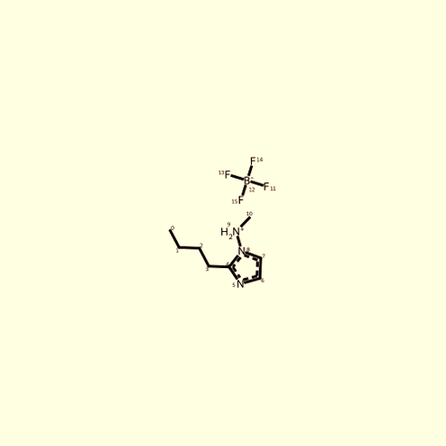 CCCCc1nccn1[NH2+]C.F[B-](F)(F)F